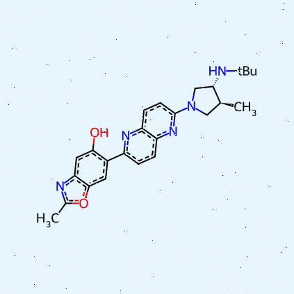 Cc1nc2cc(O)c(-c3ccc4nc(N5C[C@H](NC(C)(C)C)[C@@H](C)C5)ccc4n3)cc2o1